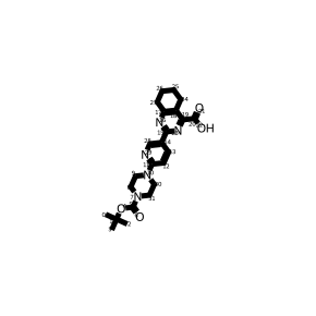 CC(C)(C)OC(=O)N1CCN(c2ccc(-c3nc4c(c(C(=O)O)n3)CCCC4)cn2)CC1